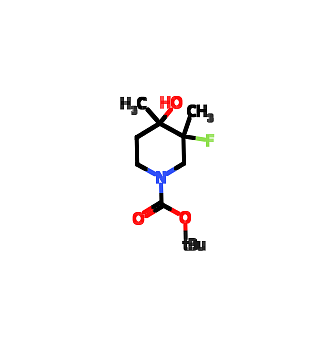 CC(C)(C)OC(=O)N1CCC(C)(O)C(C)(F)C1